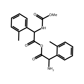 COC(=O)NC(C(=O)OC(=O)C(N)c1ccccc1C)c1ccccc1C